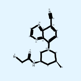 C[C@H]1C[C@@H](NC(=O)CBr)CN(c2ccc(C#N)c3nccnc23)C1